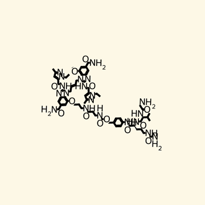 CCn1nc(C)cc1C(=O)Nc1nc2cc(C(N)=O)cc(OC)c2n1C/C=C/Cn1c(NC(=O)c2cc(C)nn2CC)nc2cc(C(N)=O)cc(OCCCNC(=O)CCNC(=O)OCc3ccc(NC(=O)[C@H](CCCNC(N)=O)NC(=O)C(NC(=O)CN)C(C)C)cc3)c21